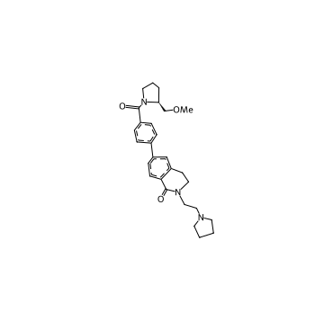 COC[C@@H]1CCCN1C(=O)c1ccc(-c2ccc3c(c2)CCN(CCN2CCCC2)C3=O)cc1